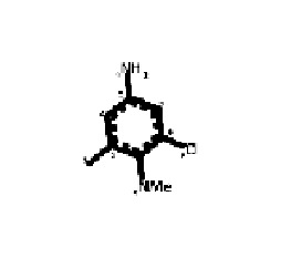 CNc1c(C)cc(N)cc1Cl